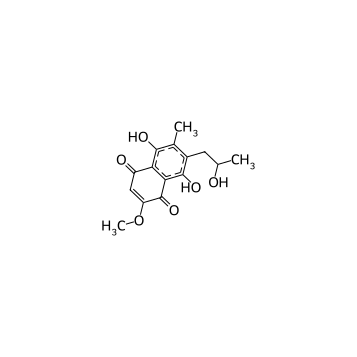 COC1=CC(=O)c2c(O)c(C)c(CC(C)O)c(O)c2C1=O